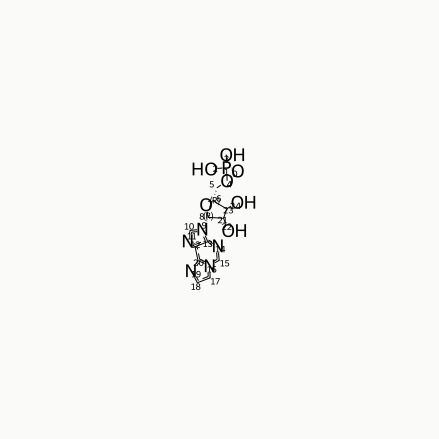 O=P(O)(O)OC[C@H]1O[C@@H](n2cnc3c2ncn2ccnc32)C(O)C1O